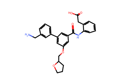 NCc1cccc(-c2cc(OCC3CCCO3)cc(C(=O)Nc3ccccc3CC(=O)O)c2)c1